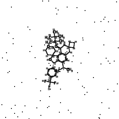 CC(C)c1nc2c(c3c1[C@H](c1ccc(C(F)(F)F)cc1)OC31CCOCC1)[C@@H](O[Si](C)(C)C(C)(C)C)CC1(CCC1)C2